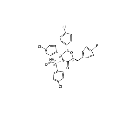 NC(=O)[C@@H](c1ccc(Cl)cc1)N1C(=O)[C@H](Cc2ccc(F)cc2)O[C@@H](c2ccc(Cl)cc2)[C@H]1c1ccc(Cl)cc1